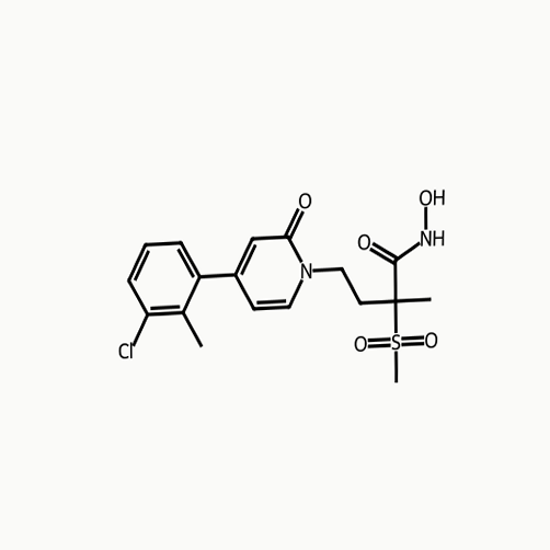 Cc1c(Cl)cccc1-c1ccn(CCC(C)(C(=O)NO)S(C)(=O)=O)c(=O)c1